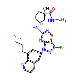 CNC(=O)[C@]1(C)CC[C@@H](Nc2ncc3c(Br)nn(-c4cc(CCCN)c5ncccc5c4)c3n2)C1